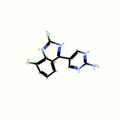 Nc1ncc(-c2nc(Cl)nc3c(Cl)cccc23)cn1